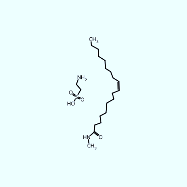 CCCCCCCC/C=C\CCCCCCCC(=O)NC.NCCS(=O)(=O)O